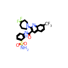 NS(=O)(=O)c1cccc(NC(=O)c2cc3ccc(C(F)(F)F)cc3nc2N2CCCC(F)(F)CC2)c1